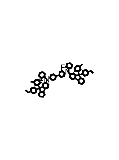 C=Cc1ccc(C2(c3cc(C)ccc3C)c3ccccc3-c3ccc(N(c4ccc(-c5ccc(N(c6ccc7c(c6)C(c6ccc(C=C)cc6)(c6cc(C)ccc6C)c6ccccc6-7)c6ccccc6F)cc5)cc4)c4ccccc4F)cc32)cc1